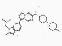 Cc1nc2ccc(-c3ccn4nc(N[C@H]5CC[C@H](N6CCN(C)CC6)CC5)ncc34)nc2n1CC(F)F